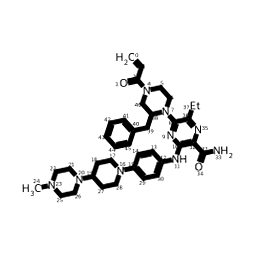 C=CC(=O)N1CCN(c2nc(Nc3ccc(N4CCC(N5CCN(C)CC5)CC4)cc3)c(C(N)=O)nc2CC)C(Cc2ccccc2)C1